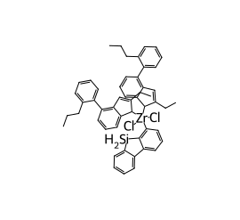 CCCc1ccccc1-c1cccc2c1C=C(CC)[CH]2[Zr]([Cl])([Cl])([c]1cccc2c1[SiH2]c1ccccc1-2)[CH]1C(CC)=Cc2c(-c3ccccc3CCC)cccc21